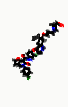 COc1cc2c(Oc3ccc(NC(=O)c4c5c(cn(-c6ccc(F)cc6)c4=O)CCO5)cc3F)ccnc2cc1OCCCN1CC(CO)C1